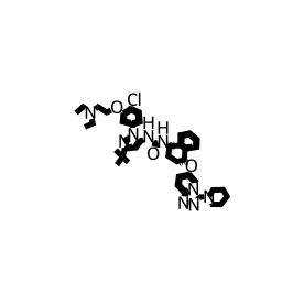 CCN(CC)CCOc1cc(-n2nc(C(C)(C)C)cc2NC(=O)N[C@H]2CC[C@@H](Oc3ccc4nnc(N5CCCCC5)n4c3)c3ccccc32)ccc1Cl